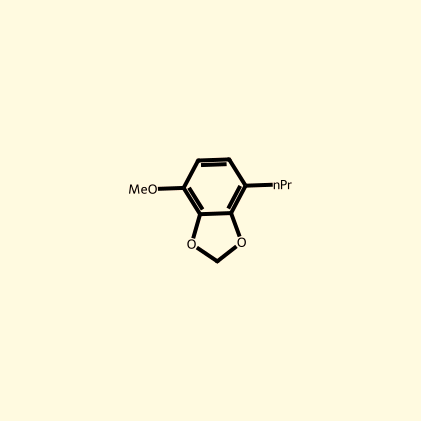 CCCc1ccc(OC)c2c1OCO2